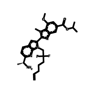 C=CCCCC(F)(F)Cn1c(-c2nc3cc(C(=O)OC(C)C)cc(OC)c3n2C)cc2ccc([C@@H](C)N)nc21